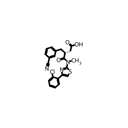 CN(C(=O)[C@@H](CC(=O)O)Cc1cccc(C#N)c1)c1nc(-c2ccccc2Cl)cs1